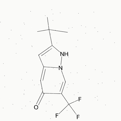 CC(C)(C)c1cc2cc(=O)c(C(F)(F)F)cn2[nH]1